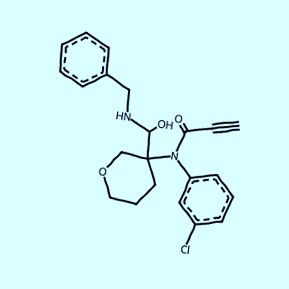 C#CC(=O)N(c1cccc(Cl)c1)C1(C(O)NCc2ccccc2)CCCOC1